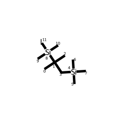 CC(C)(C[Si](C)(C)C)[Si](C)(C)I